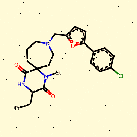 CCN1C(=O)C(CC(C)C)NC(=O)C12CCCN(Cc1ccc(-c3ccc(Cl)cc3)o1)CC2